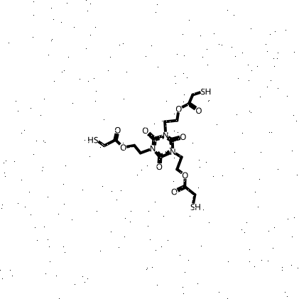 O=C(CS)OCCn1c(=O)n(CCOC(=O)CS)c(=O)n(CCOC(=O)CS)c1=O